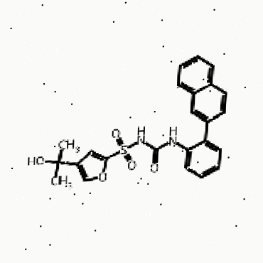 CC(C)(O)c1coc(S(=O)(=O)NC(=O)Nc2ccccc2-c2ccc3ccccc3c2)c1